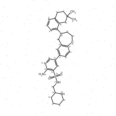 CC1(C)CCc2ncnc(N3CCOc4ccc(-c5cnc(N)c(S(=O)(=O)NCC6CCCCN6)c5)cc4C3)c2C1